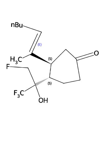 CCCC/C=C(\C)[C@H]1CC(=O)CC[C@@H]1C(O)(CF)C(F)(F)F